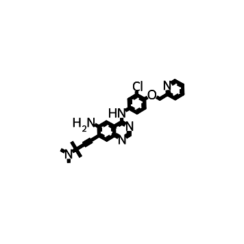 CN(C)C(C)(C)C#Cc1cc2ncnc(Nc3ccc(OCc4ccccn4)c(Cl)c3)c2cc1N